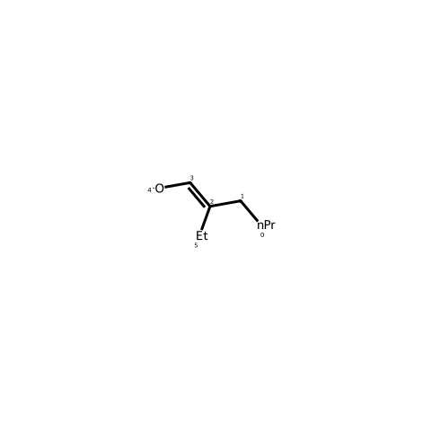 CCCC/C(=C/[O])CC